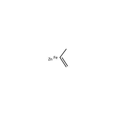 C=CC.[Fe].[Zn]